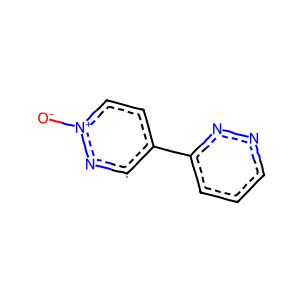 [O-][n+]1ccc(-c2cccnn2)[c]n1